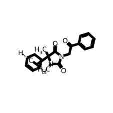 CN1C(=O)N(CC(=O)c2ccccc2)C(=O)C1(C)C1C[C@H]2C=C[C@@H]1CC2